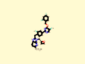 O=C(O)c1ccc2nc(Cc3ccc(-c4ncc(F)c(OCc5ccc(F)cc5F)n4)cc3F)n(C[C@@H]3CCO3)c2n1